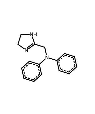 c1ccc(N(CC2=NCCN2)c2ccccc2)cc1